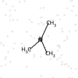 CCCCCCCCCCCCCCCCCCN1C=CN(CCCCCCCCCCCCCC)C1CCCCCCCCCCCCCCC